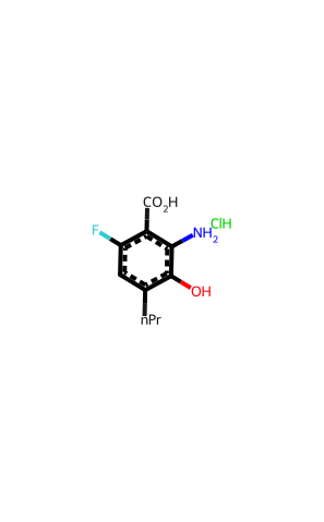 CCCc1cc(F)c(C(=O)O)c(N)c1O.Cl